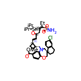 CC[C@H](CC[C@@H](/C=C/[C@@H]1CC[C@H]1CN1C[C@@]2(CCCc3cc(Cl)ccc32)COc2ccc(C(=O)OC)cc21)O[Si](C(C)C)(C(C)C)C(C)C)S(N)(=O)=O